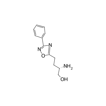 N[C@H](CO)CCc1nc(-c2ccccc2)no1